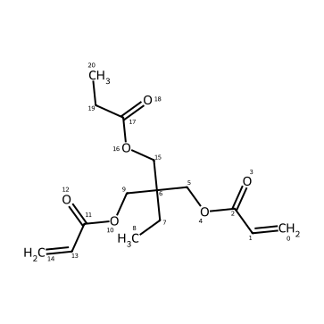 C=CC(=O)OCC(CC)(COC(=O)C=C)COC(=O)CC